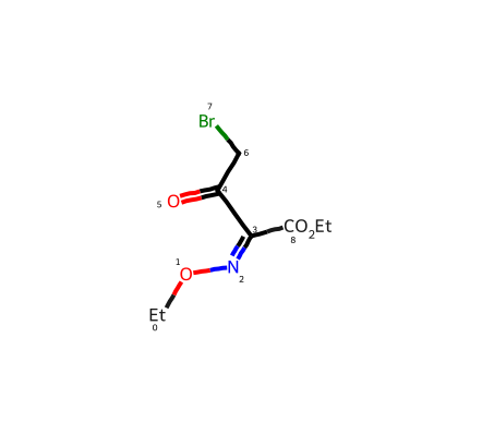 CCON=C(C(=O)CBr)C(=O)OCC